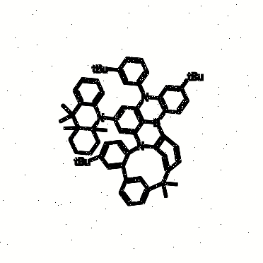 CC(C)(C)c1cccc(N2c3cc(C(C)(C)C)ccc3B3c4ccc5cc4N(c4ccc(C(C)(C)C)cc4-c4cccc(c4)C5(C)C)c4cc(N5c6ccccc6C(C)(C)C6(C)CCCCC56C)cc2c43)c1